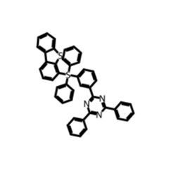 c1ccc(-c2nc(-c3ccccc3)nc(-c3cccc(S(c4ccccc4)(c4ccccc4)c4cccc5c4sc4ccccc45)c3)n2)cc1